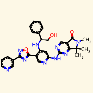 CN1C(=O)c2cnc(Nc3cc(N[C@H](CO)c4ccccc4)c(-c4nc(-c5cccnc5)no4)cn3)nc2C1(C)C